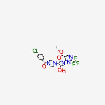 CCOC(=O)c1cnc(C(F)(F)F)nc1N1CC(O)C(N2CCN(C(=O)c3ccc(Cl)cc3)CC2)C1